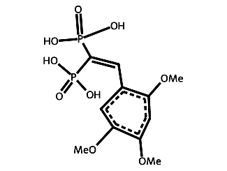 COc1cc(OC)c(OC)cc1C=C(P(=O)(O)O)P(=O)(O)O